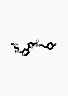 CNCCNc1cc(-c2ccc(C(=O)NCCc3ccc(F)cc3)s2)ccn1